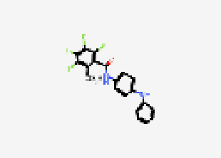 O=C(O)c1c(F)c(F)c(F)c(F)c1C(=O)Nc1ccc(Nc2ccccc2)cc1